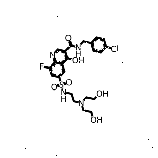 O=C(NCc1ccc(Cl)cc1)c1cnc2c(F)cc(S(=O)(=O)NCCN(CCO)CCO)cc2c1O